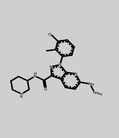 CCCCCCNc1ccc2c(C(=O)NC3CCCNC3)nn(-c3cccc(Cl)c3C)c2n1